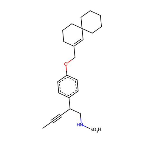 CC#CC(CNS(=O)(=O)O)c1ccc(OCC2=CC3(CCCCC3)CCC2)cc1